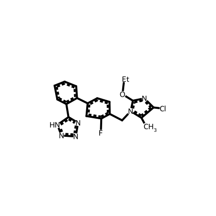 CCOc1nc(Cl)c(C)n1Cc1ccc(-c2ccccc2-c2nnn[nH]2)cc1F